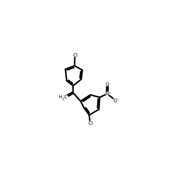 C=C(c1ccc(Cl)cc1)c1cc(Cl)cc([N+](=O)[O-])c1